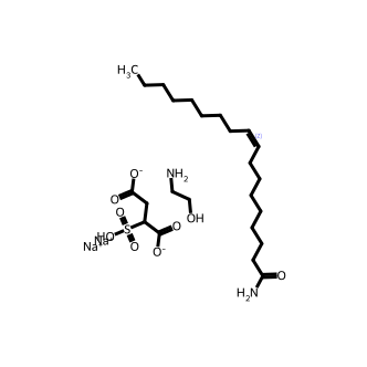 CCCCCCCC/C=C\CCCCCCCC(N)=O.NCCO.O=C([O-])CC(C(=O)[O-])S(=O)(=O)O.[Na+].[Na+]